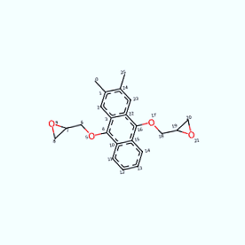 Cc1cc2c(OCC3CO3)c3ccccc3c(OCC3CO3)c2cc1C